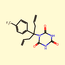 C=CCC(CC=C)(c1ccc(C(F)(F)F)cc1)n1c(=O)[nH]c(=O)[nH]c1=O